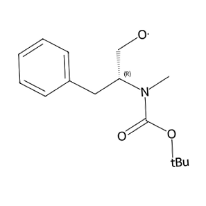 CN(C(=O)OC(C)(C)C)[C@@H](C[O])Cc1ccccc1